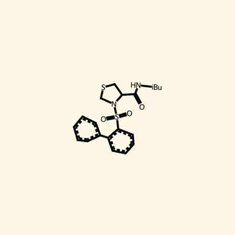 CCC(C)NC(=O)C1CSCN1S(=O)(=O)c1ccccc1-c1ccccc1